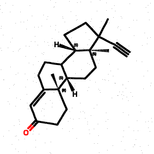 C#CC1(C)CC[C@H]2C3CCC4=CC(=O)CC[C@]4(C)[C@H]3CC[C@@]21C